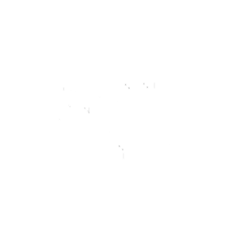 CC(C)(C)C(=O)N1C=C2NNC=C3C=C(F)C=C4NC(=C2C34)C1